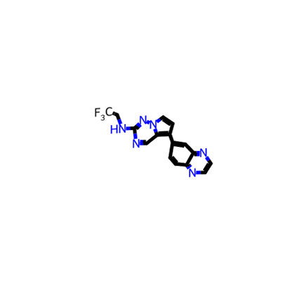 FC(F)(F)CNc1ncc2c(-c3ccc4nccnc4c3)ccn2n1